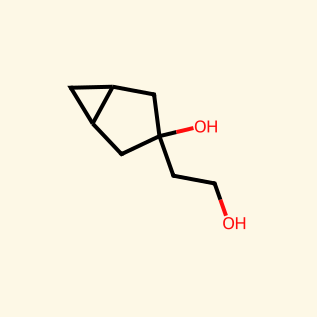 OCCC1(O)CC2CC2C1